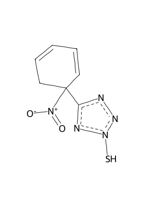 O=[N+]([O-])C1(c2nnn(S)n2)C=CC=CC1